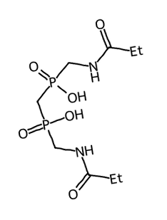 CCC(=O)NCP(=O)(O)CP(=O)(O)CNC(=O)CC